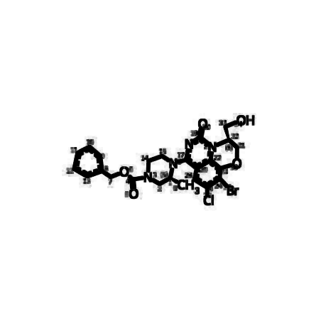 C[C@H]1CN(C(=O)OCc2ccccc2)CCN1c1nc(=O)n2c3c(c(Br)c(Cl)cc13)OC[C@@H]2CO